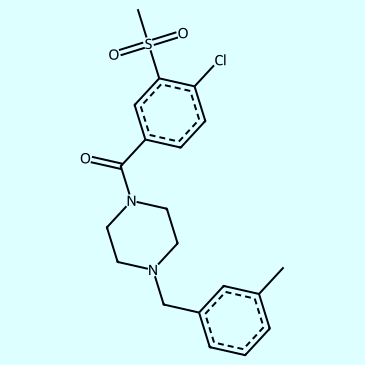 Cc1cccc(CN2CCN(C(=O)c3ccc(Cl)c(S(C)(=O)=O)c3)CC2)c1